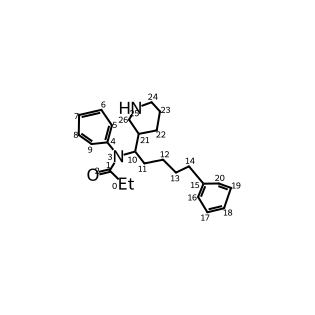 CCC(=O)N(c1ccccc1)C(CCCCc1ccccc1)C1CCCNC1